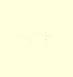 CC(=O)C1(O)CCCN(O)C1